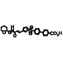 O=C(/C=C/c1ccn(S(=O)(=O)c2ccc(-c3ccc(C(=O)O)cc3)cc2)c1)NOC1CCCCO1